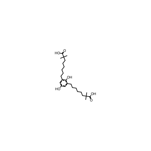 CC(C)(CCCCCCc1cc(O)cc(CCCCCCC(C)(C)C(=O)O)c1O)C(=O)O